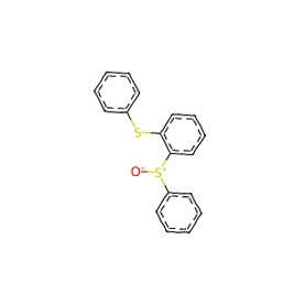 [O-][S+](c1ccccc1)c1ccccc1Sc1ccccc1